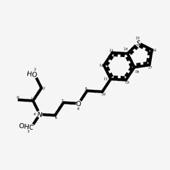 CC(CO)N(C=O)CCOCCc1ccc2sccc2c1